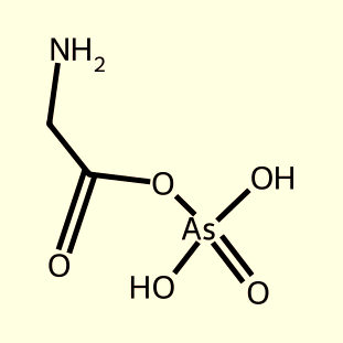 NCC(=O)O[As](=O)(O)O